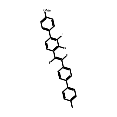 COc1ccc(-c2ccc(/C(F)=C(\F)c3ccc(-c4ccc(C)cc4)cc3)c(F)c2F)cc1